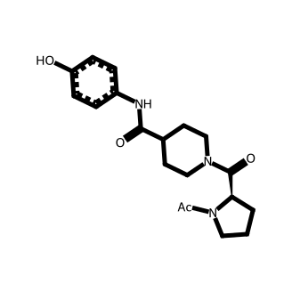 CC(=O)N1CCC[C@@H]1C(=O)N1CCC(C(=O)Nc2ccc(O)cc2)CC1